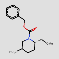 COC[C@@H]1CCC(C(=O)O)CN1C(=O)OCc1ccccc1